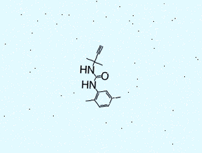 C#CC(C)(C)NC(=O)Nc1cc(C)ccc1C